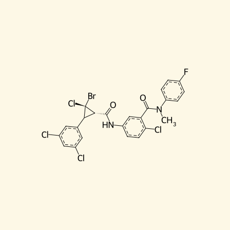 CN(C(=O)c1cc(NC(=O)[C@@H]2C(c3cc(Cl)cc(Cl)c3)[C@]2(Cl)Br)ccc1Cl)c1ccc(F)cc1